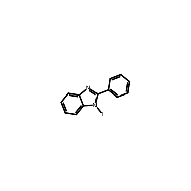 In1c(-c2ccccc2)nc2ccccc21